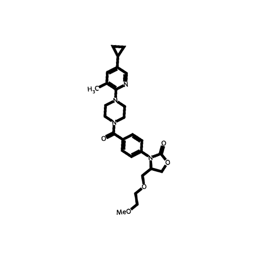 COCCOCC1COC(=O)N1c1ccc(C(=O)N2CCN(c3ncc(C4CC4)cc3C)CC2)cc1